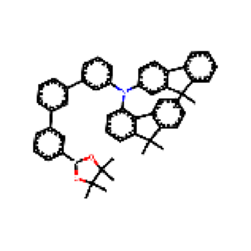 CC1(C)c2ccccc2-c2ccc(N(c3cccc(-c4cccc(-c5cccc(B6OC(C)(C)C(C)(C)O6)c5)c4)c3)c3cccc4c3-c3ccccc3C4(C)C)cc21